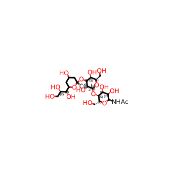 CC(=O)NC1O[C@H](CO)[C@@H](O[C@@H]2O[C@H](CO)[C@H](O)[C@H](OC3(C(=O)O)CC(O)CC([C@H](O)[C@H](O)CO)O3)[C@H]2O)[C@H](O)[C@H]1O